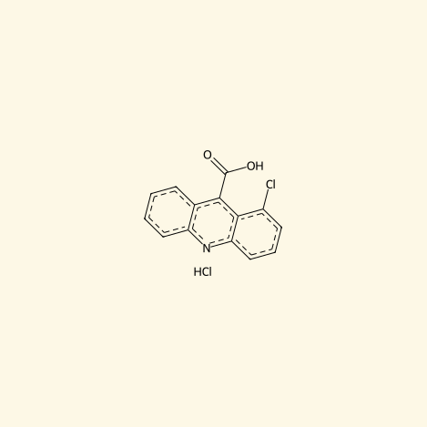 Cl.O=C(O)c1c2ccccc2nc2cccc(Cl)c12